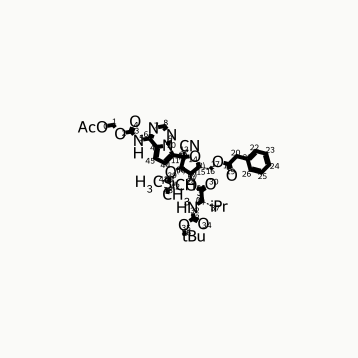 CC(=O)OCOC(=O)Nc1ncnn2c([C@]3(C#N)O[C@H](COC(=O)Cc4ccccc4)[C@@H](OC(=O)[C@@H](NC(=O)OC(C)(C)C)C(C)C)[C@H]3O[Si](C)(C)C)ccc12